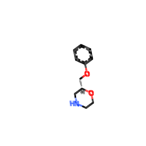 c1ccc(OC[C@H]2CNCCO2)cc1